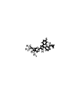 CC(C)NC(=O)C1(C)COC(c2nc(-c3ccc(F)cc3)c(-c3ccnc(NC4CC4)n3)[nH]2)OC1